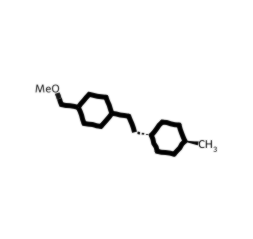 COCC1CCC(CC[C@H]2CC[C@H](C)CC2)CC1